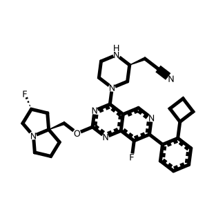 N#CC[C@H]1CN(c2nc(OC[C@@]34CCCN3C[C@H](F)C4)nc3c(F)c(-c4ccccc4C4CCC4)ncc23)CCN1